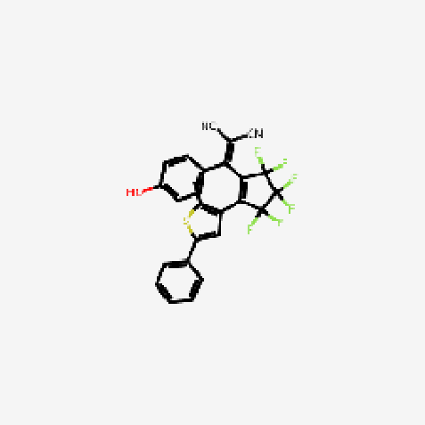 Cc1sc(-c2ccccc2)cc1C1=C(C(=C(C#N)C#N)c2ccc(O)cc2)C(F)(F)C(F)(F)C1(F)F